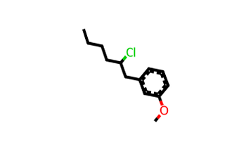 CCCCC(Cl)Cc1cccc(OC)c1